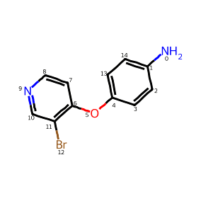 Nc1ccc(Oc2ccncc2Br)cc1